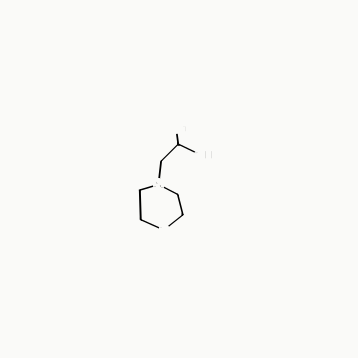 CC(C)C(C)CN1CCSCC1